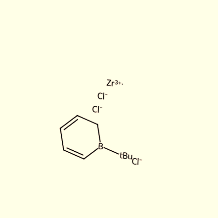 CC(C)(C)B1C=CC=CC1.[Cl-].[Cl-].[Cl-].[Zr+3]